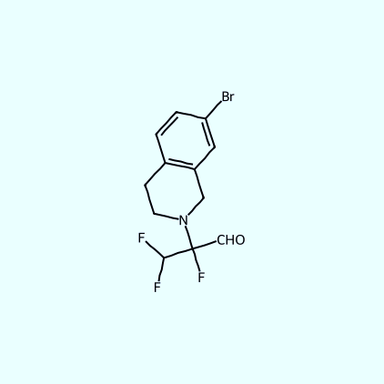 O=CC(F)(C(F)F)N1CCc2ccc(Br)cc2C1